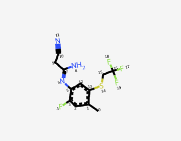 Cc1cc(F)c(N=C(N)CC#N)cc1SCC(F)(F)F